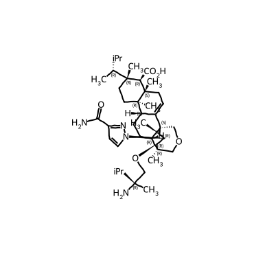 CC(C)[C@@H](C)[C@@]1(C)CC[C@]2(C)[C@H]3CC[C@H]4[C@]5(C)COC[C@]4(C3=CC[C@@]2(C)[C@@H]1C(=O)O)[C@H](C)[C@@H](n1ccc(C(N)=O)n1)[C@@H]5OC[C@](C)(N)C(C)C